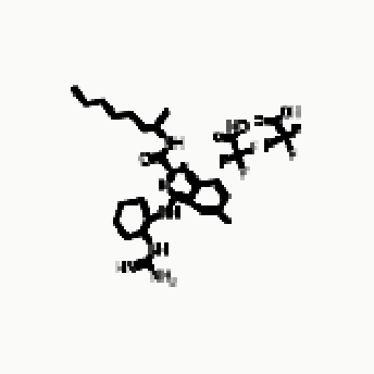 CCCCCCC(C)NC(=O)c1nc(NC2CCCCC2NC(=N)N)c2cc(C)ccc2n1.O=C(O)C(F)(F)F.O=C(O)C(F)(F)F